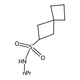 CCCNS(=O)(=O)C1CC2(CCC2)C1